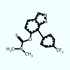 CN(C)C(=S)Oc1ccc2cnsc2c1-c1ccc(C(F)(F)F)cc1